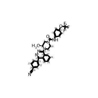 C[C@H]1CN(C(=O)Nc2ccc(OC(F)(F)F)cc2)CCN1c1nnc(-c2ccc(C#N)cc2)c2ccccc12